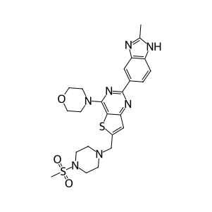 Cc1nc2cc(-c3nc(N4CCOCC4)c4sc(CN5CCN(S(C)(=O)=O)CC5)cc4n3)ccc2[nH]1